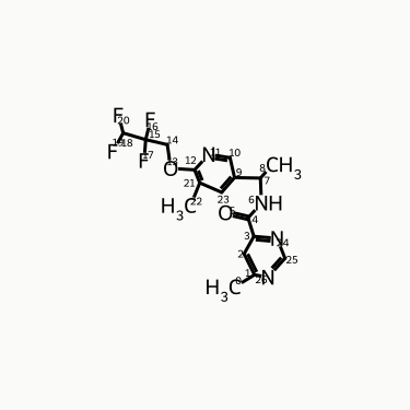 Cc1cc(C(=O)NC(C)c2cnc(OCC(F)(F)C(F)F)c(C)c2)ncn1